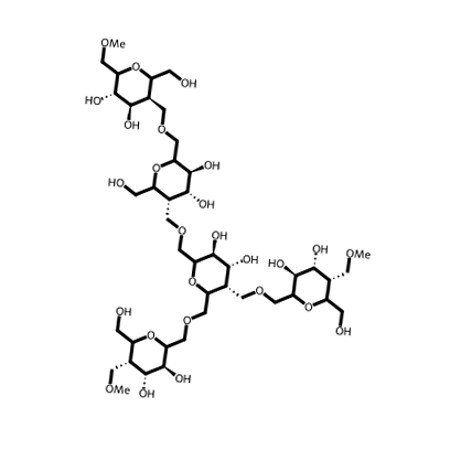 COCC1OC(CO)[C@@H](COCC2OC(CO)[C@@H](COCC3OC(COCC4OC(CO)[C@@H](COC)[C@@H](O)[C@@H]4O)[C@@H](COCC4OC(CO)[C@@H](COC)[C@@H](O)[C@@H]4O)[C@@H](O)[C@@H]3O)[C@@H](O)[C@@H]2O)[C@@H](O)[C@@H]1O